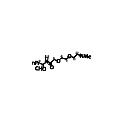 CCCC(C=O)NC(=O)COCCOCCNC